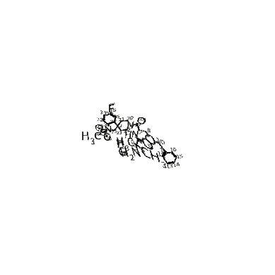 CC(C)(N)C(=O)N[C@H](COCc1ccccc1)C(=O)N1CCC2(CC1)CN(S(C)(=O)=O)c1ccc(F)cc12.Cl